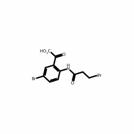 CC(C)CCC(=O)Nc1ccc(Br)cc1C(=O)C(=O)O